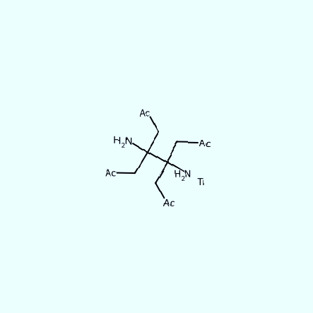 CC(=O)CC(N)(CC(C)=O)C(N)(CC(C)=O)CC(C)=O.[Ti]